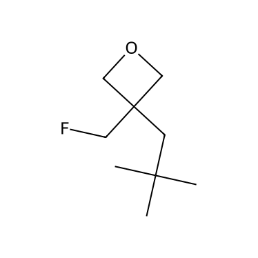 CC(C)(C)CC1(CF)COC1